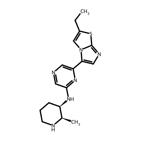 CCc1cn2c(-c3cncc(N[C@@H]4CCCN[C@@H]4C)n3)cnc2s1